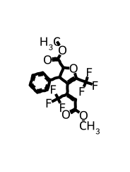 COC(=O)C=C(C1=C(C(F)(F)F)OC(C(=O)OC)C1c1ccccc1)C(F)(F)F